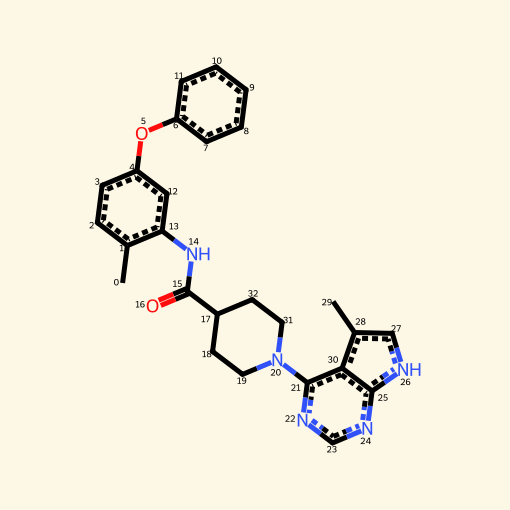 Cc1ccc(Oc2ccccc2)cc1NC(=O)C1CCN(c2ncnc3[nH]cc(C)c23)CC1